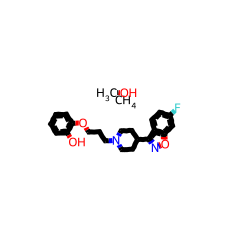 C.CO.Oc1ccccc1OCCCN1CCC(c2noc3cc(F)ccc23)CC1